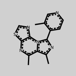 Cc1cnccc1-c1nc(C)c2c(C)nc3scnc3n12